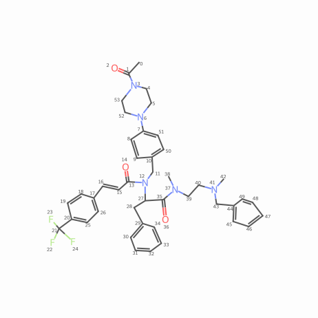 CC(=O)N1CCN(c2ccc(CN(C(=O)C=Cc3ccc(C(F)(F)F)cc3)C(Cc3ccccc3)C(=O)N(C)CCN(C)Cc3ccccc3)cc2)CC1